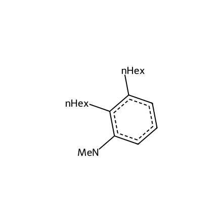 CCCCCCc1cccc(NC)c1CCCCCC